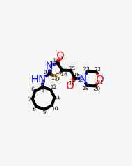 O=C1N=C(NC2CCCCCCC2)SC1CC(=O)N1CCOCC1